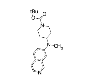 CN(c1ccc2ccncc2c1)C1CCN(C(=O)OC(C)(C)C)CC1